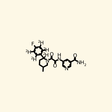 [2H]c1c([2H])c(C2([2H])CCC(C)CN2C(=O)C(=O)Nc2cncc(C(N)=O)c2)c([2H])c([2H])c1F